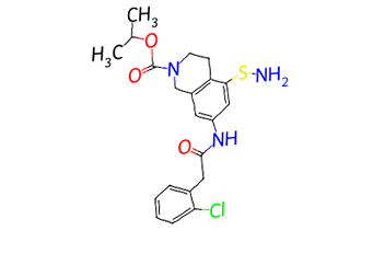 CC(C)OC(=O)N1CCc2c(cc(NC(=O)Cc3ccccc3Cl)cc2SN)C1